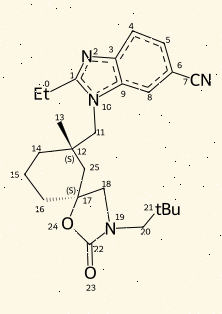 CCc1nc2ccc(C#N)cc2n1C[C@@]1(C)CCC[C@@]2(CN(CC(C)(C)C)C(=O)O2)C1